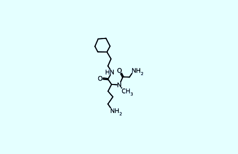 CN(C(=O)CN)C(CCCN)C(=O)NCCC1CCCCC1